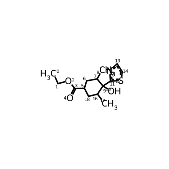 CCOC(=O)C1CC(C)C(O)(c2nccs2)C(C)C1